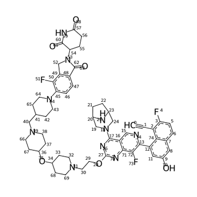 C#Cc1c(F)ccc2cc(O)cc(-c3ncc4c(N5CC6CCC(C5)N6)nc(OCCN5CCC(OC6CCN(CC7CCN(c8ccc9c(c8F)CN(C8CCC(=O)NC8=O)C9=O)CC7)CC6)CC5)nc4c3F)c12